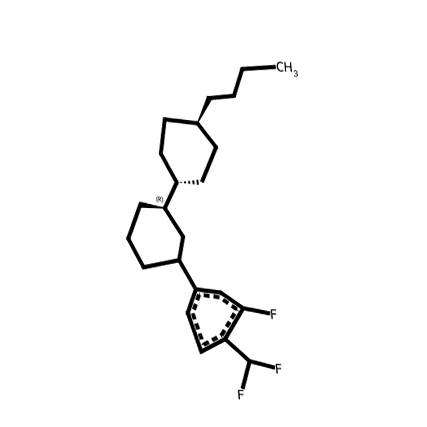 CCCC[C@H]1CC[C@H]([C@@H]2CCCC(c3ccc(C(F)F)c(F)c3)C2)CC1